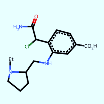 CCN1CCCC1CNc1cc(C(=O)O)ccc1C(Cl)C(N)=O